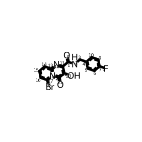 O=C(NCc1ccc(F)cc1)c1nc2cccc(Br)n2c(=O)c1O